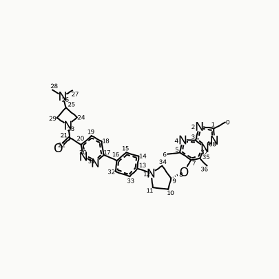 Cc1nc2nc(C)c(O[C@@H]3CCN(c4ccc(-c5ccc(C(=O)N6CC(N(C)C)C6)nn5)cc4)C3)c(C)n2n1